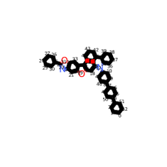 c1ccc(-c2ccc(-c3ccc(N(c4ccc5c(c4)oc4cc6nc(-c7ccccc7)oc6cc45)c4ccccc4-c4ccccc4)cc3)cc2)cc1